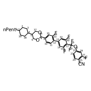 CCCCCC1CCC(C2COC(c3ccc(-c4cc(F)c(C(F)(F)Oc5ccc(C#N)c(F)c5)c(F)c4)c(F)c3)OC2)CC1